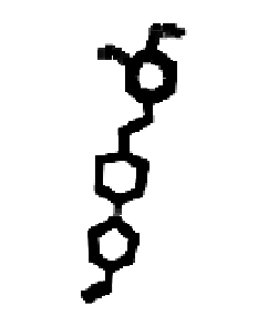 C=C[C@H]1CC[C@H](C2CCC(CCc3ccc(OC)c(CCC)c3)CC2)CC1